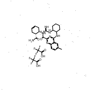 Cc1ccc2nc(C(=O)N[C@H]3CC=CC[C@H]3C(N)=O)nc(NC3CCCCC3NC(=N)N)c2c1.O=C(O)C(F)(F)F.O=C(O)C(F)(F)F